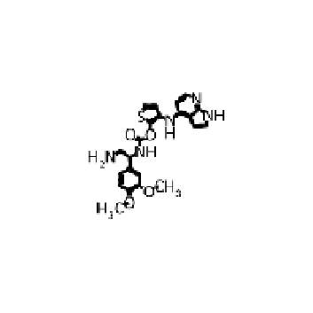 COc1ccc(C(CN)NC(=O)Oc2sccc2Nc2ccnc3[nH]ccc23)cc1OC